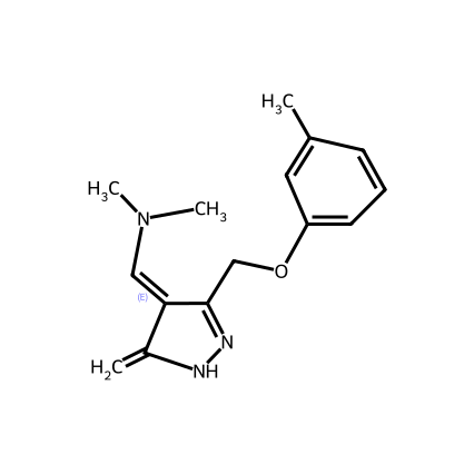 C=c1[nH]nc(COc2cccc(C)c2)/c1=C\N(C)C